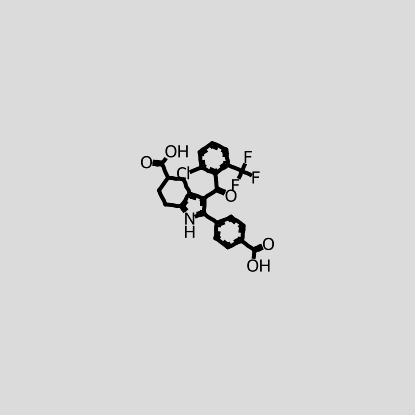 O=C(O)c1ccc(-c2[nH]c3c(c2C(=O)c2c(Cl)cccc2C(F)(F)F)CC(C(=O)O)CC3)cc1